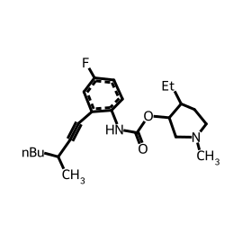 CCCCC(C)C#Cc1cc(F)ccc1NC(=O)OC1CN(C)CCC1CC